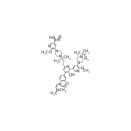 COc1ncc(-c2nc(CCC(C)(C)N3CCN(c4cc(B(O)N=O)cnc4OC)CC3)cc(-c3ccc(N(C=O)/C=C\N(C)C)c(Cl)c3)c2O)cc1N1CCN(C(C)(C)C)CC1